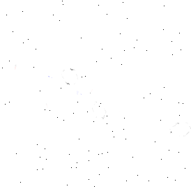 O=C(O)CCCN1CC(C(=O)O)Oc2c(NC(=O)c3cccc(OCCCCCc4ccccc4)c3)cccc21